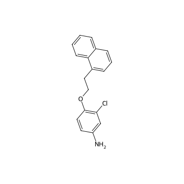 Nc1ccc(OCCc2cccc3ccccc23)c(Cl)c1